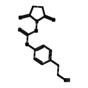 O=C(Oc1ccc(CCO)cc1)ON1C(=O)CCC1=O